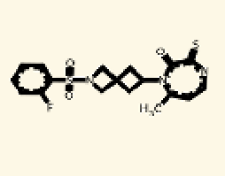 Cc1ccnc(=S)c(=O)n1C1CC2(C1)CN(S(=O)(=O)c1ccccc1F)C2